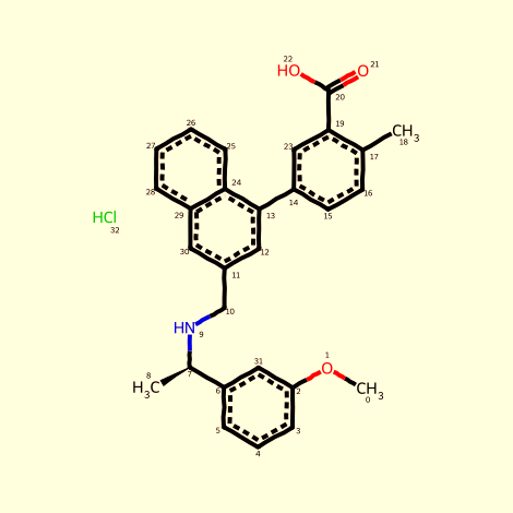 COc1cccc([C@@H](C)NCc2cc(-c3ccc(C)c(C(=O)O)c3)c3ccccc3c2)c1.Cl